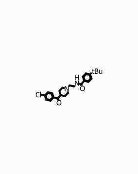 CC(C)(C)c1ccc(C(=O)NCCN2CCC(C(=O)c3ccc(Cl)cc3)CC2)cc1